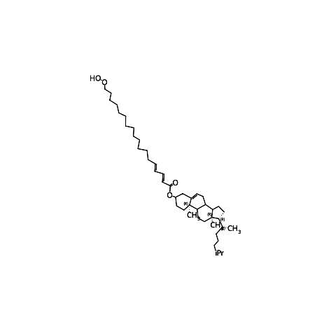 CC(C)CCC[C@@H](C)[C@H]1CCC2C3CC=C4CC(OC(=O)C=CC=CCCCCCCCCCCCCCOO)CC[C@]4(C)C3CC[C@@]21C